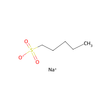 CCCCCS(=O)(=O)[O-].[Na+]